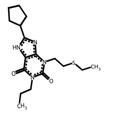 CCCn1c(=O)c2[nH]c(C3CCCC3)nc2n(CCSCC)c1=O